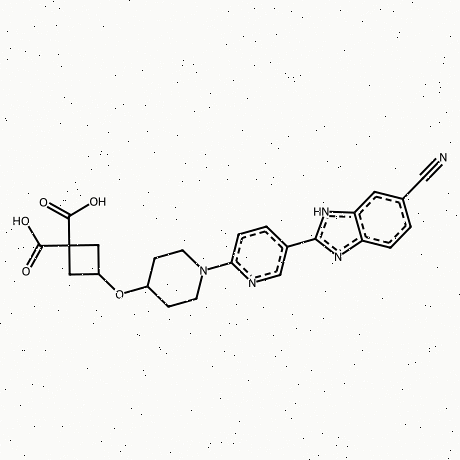 N#Cc1ccc2nc(-c3ccc(N4CCC(OC5CC(C(=O)O)(C(=O)O)C5)CC4)nc3)[nH]c2c1